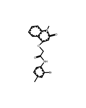 Cc1ccc(NC(=O)COc2cc(=O)n(C)c3ccccc23)c(Br)c1